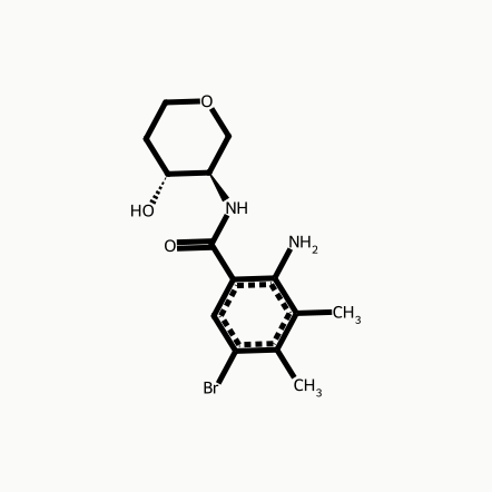 Cc1c(Br)cc(C(=O)N[C@@H]2COCC[C@H]2O)c(N)c1C